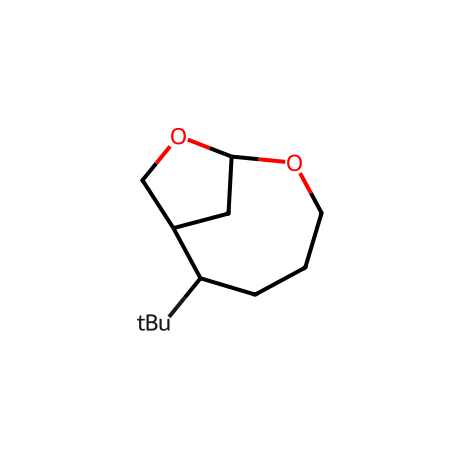 CC(C)(C)C1CCCOC2CC1CO2